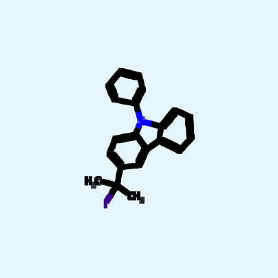 CC(C)(I)c1ccc2c(c1)c1ccccc1n2-c1ccccc1